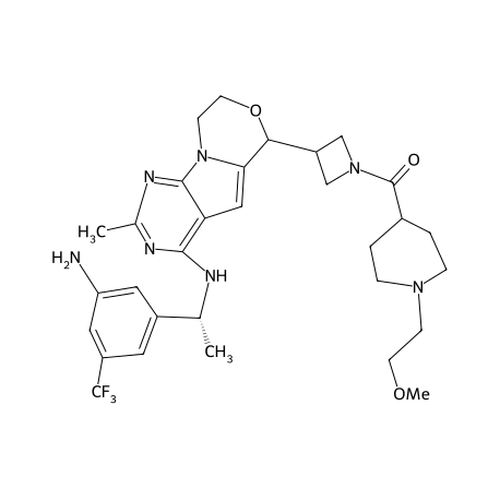 COCCN1CCC(C(=O)N2CC(C3OCCn4c3cc3c(N[C@H](C)c5cc(N)cc(C(F)(F)F)c5)nc(C)nc34)C2)CC1